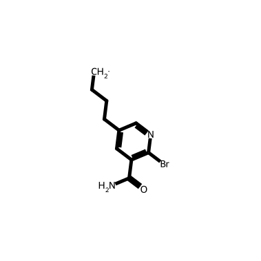 [CH2]CCCc1cnc(Br)c(C(N)=O)c1